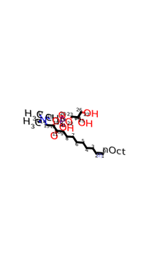 CCCCCCCC/C=C\CCCCCCCC(=O)C(C[N+](C)(C)C)OP(=O)(O)OC[C@H](O)CO